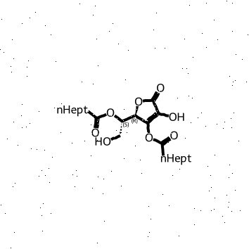 CCCCCCCC(=O)OC1=C(O)C(=O)O[C@@H]1[C@H](CO)OC(=O)CCCCCCC